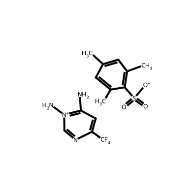 Cc1cc(C)c(S(=O)(=O)[O-])c(C)c1.Nc1cc(C(F)(F)F)nc[n+]1N